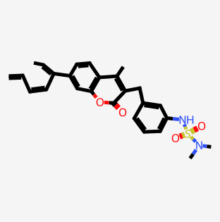 C=C/C=C\C(=C/C)c1ccc2c(C)c(Cc3cccc(NS(=O)(=O)N(C)C)c3)c(=O)oc2c1